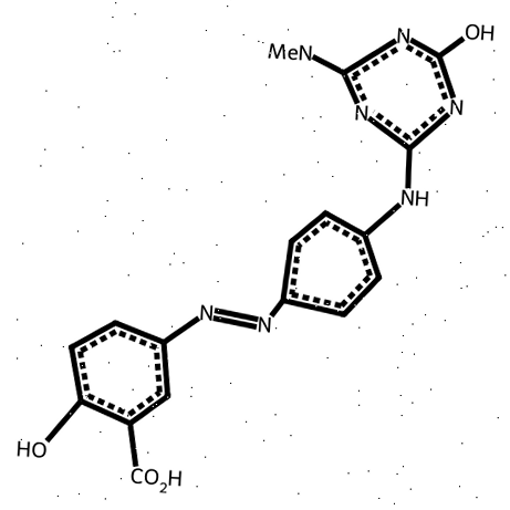 CNc1nc(O)nc(Nc2ccc(N=Nc3ccc(O)c(C(=O)O)c3)cc2)n1